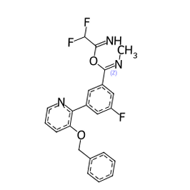 C/N=C(\OC(=N)C(F)F)c1cc(F)cc(-c2ncccc2OCc2ccccc2)c1